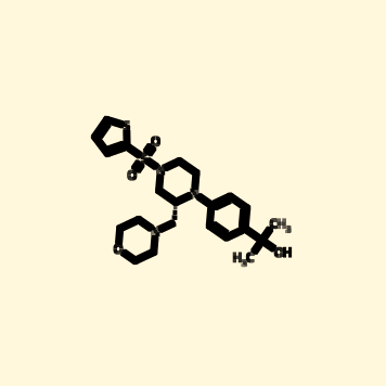 CC(C)(O)c1ccc(N2CCN(S(=O)(=O)c3cccs3)C[C@H]2CN2CCOCC2)cc1